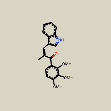 COc1ccc(C(=O)C(C)=Cc2c[nH]c3ccccc23)c(OC)c1OC